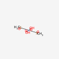 CC(=O)SCCCCCCCC/C(CC(=O)O)=C(/CCCCCCCCSC(C)=O)CC(=O)O